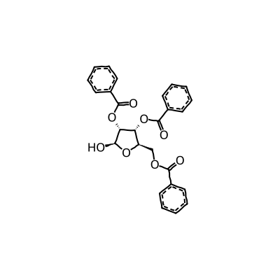 O=C(OC[C@H]1O[C@@H](O)[C@H](OC(=O)c2ccccc2)[C@@H]1OC(=O)c1ccccc1)c1ccccc1